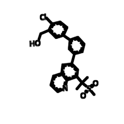 CC(C)(c1cc(-c2cccc(-c3ccc(Cl)c(CO)c3)c2)cc2cccnc12)S(C)(=O)=O